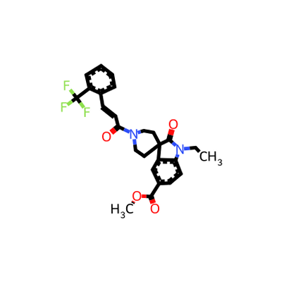 CCN1C(=O)C2(CCN(C(=O)C=Cc3ccccc3C(F)(F)F)CC2)c2cc(C(=O)OC)ccc21